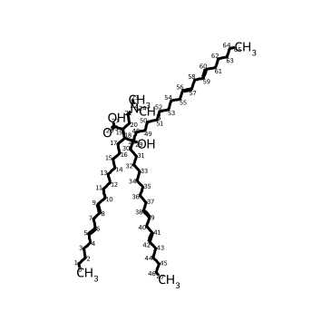 CCCCCC=CCC=CCCCCCCCCC(C(CCN(C)C)C(=O)O)C(O)(CCCCCCCCC=CCC=CCCCCC)CCCCCCCCC=CCC=CCCCCC